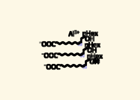 CCCCCC[C@@H](O)C/C=C\CCCCCCCC(=O)[O-].CCCCCC[C@@H](O)C/C=C\CCCCCCCC(=O)[O-].CCCCCC[C@@H](O)C/C=C\CCCCCCCC(=O)[O-].[Al+3].[Zn]